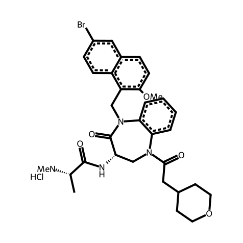 CN[C@@H](C)C(=O)N[C@H]1CN(C(=O)CC2CCOCC2)c2ccccc2N(Cc2c(OC)ccc3cc(Br)ccc23)C1=O.Cl